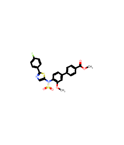 COC(=O)c1ccc(-c2ccc(N(c3cnc(-c4ccc(F)cc4)s3)[SH](=O)=O)c(OC)c2)cc1